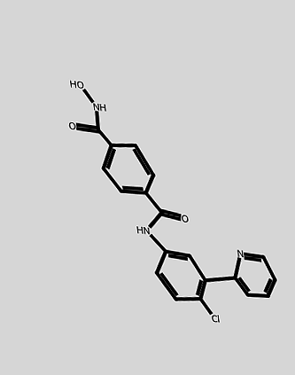 O=C(NO)c1ccc(C(=O)Nc2ccc(Cl)c(-c3ccccn3)c2)cc1